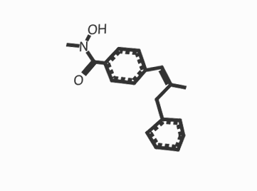 CC(=Cc1ccc(C(=O)N(C)O)cc1)Cc1ccccc1